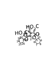 CC(C(=O)OC1CCCCC1)C(=C(CC(=O)O)C(=O)O)C(C)C(=O)OC1CCCCC1